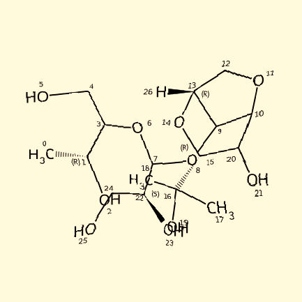 C[C@@H](O)C(CO)OC(OC1C2OC[C@H]1O[C@@H](C(C)(C)O)C2O)[C@@H](O)CO